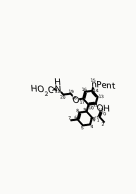 C=C(C)[C@@H]1CCC(C)=CC1c1c(O)cc(CCCCC)cc1OCCNC(=O)O